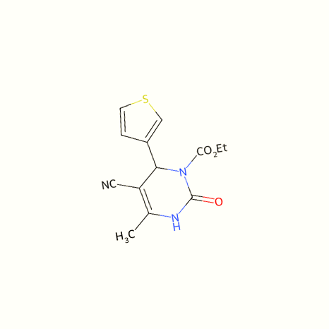 CCOC(=O)N1C(=O)NC(C)=C(C#N)C1c1ccsc1